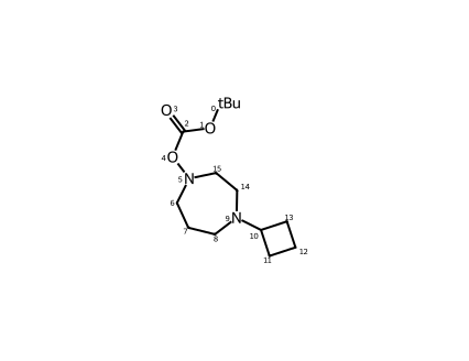 CC(C)(C)OC(=O)ON1CCCN(C2CCC2)CC1